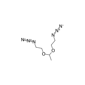 CC(OCCN=[N+]=[N-])OCCN=[N+]=[N-]